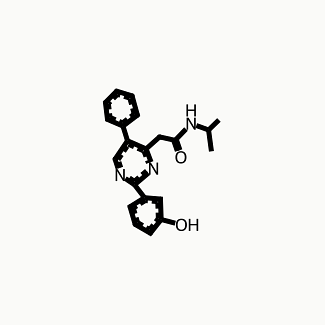 CC(C)NC(=O)Cc1nc(-c2cccc(O)c2)ncc1-c1ccccc1